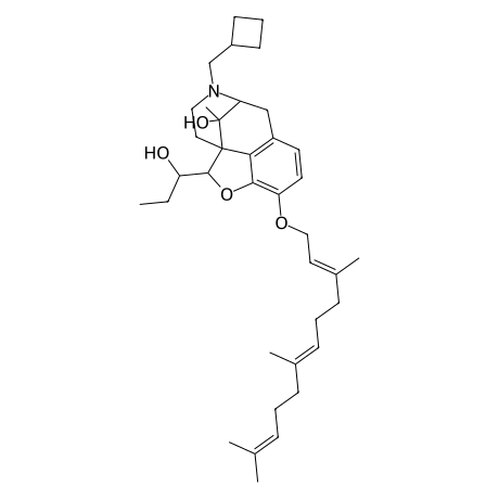 CCC(O)C1Oc2c(OC/C=C(\C)CC/C=C(\C)CCC=C(C)C)ccc3c2C12CCN(CC1CCC1)C(C3)C2(C)O